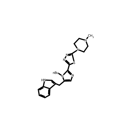 CCCCn1c(Cc2c[nH]c3ccccc23)cnc1-c1nnc(N2CCN(C)CC2)s1